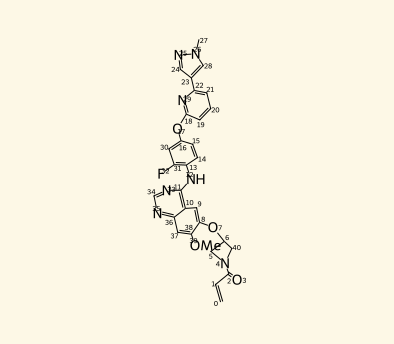 C=CC(=O)N1CC(Oc2cc3c(Nc4ccc(Oc5cccc(-c6cnn(C)c6)n5)cc4F)ncnc3cc2OC)C1